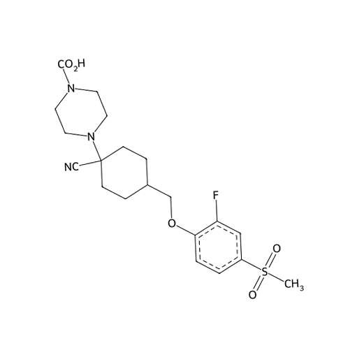 CS(=O)(=O)c1ccc(OCC2CCC(C#N)(N3CCN(C(=O)O)CC3)CC2)c(F)c1